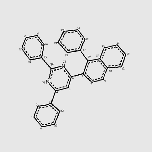 c1ccc(-c2cc(-c3ccc4ccccc4c3-c3ccccc3)nc(-c3ccccc3)n2)cc1